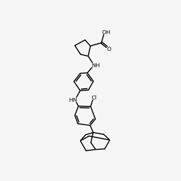 O=C(O)C1CCCC1Nc1ccc(Nc2ccc(C34CC5CC(CC(C5)C3)C4)cc2Cl)cc1